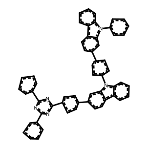 c1ccc(-c2nc(-c3ccccc3)nc(-c3ccc(-c4ccc5c6ccccc6n(-c6ccc(-c7ccc8c9ccccc9n(-c9ccccc9)c8c7)cc6)c5c4)cc3)n2)cc1